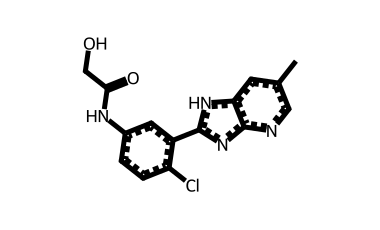 Cc1cnc2nc(-c3cc(NC(=O)CO)ccc3Cl)[nH]c2c1